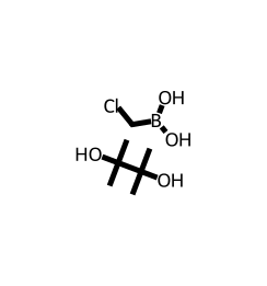 CC(C)(O)C(C)(C)O.OB(O)CCl